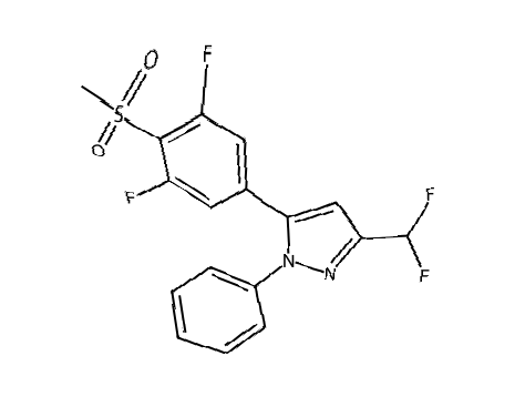 CS(=O)(=O)c1c(F)cc(-c2cc(C(F)F)nn2-c2ccccc2)cc1F